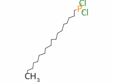 CCCCCCCCCCCCCCCCCCP(Cl)Cl